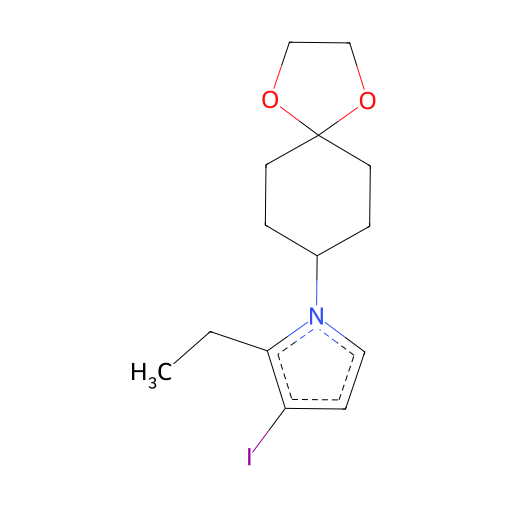 CCc1c(I)ccn1C1CCC2(CC1)OCCO2